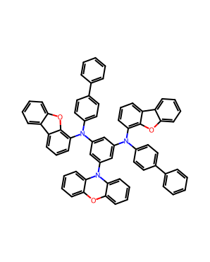 c1ccc(-c2ccc(N(c3cc(N4c5ccccc5Oc5ccccc54)cc(N(c4ccc(-c5ccccc5)cc4)c4cccc5c4oc4ccccc45)c3)c3cccc4c3oc3ccccc34)cc2)cc1